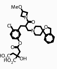 COC1CN(C(=O)C(Cc2cc(OC(=O)CC(O)(CC(=O)O)C(=O)O)ccc2Cl)CN2CCC3(CC2)OCc2ccccc23)C1